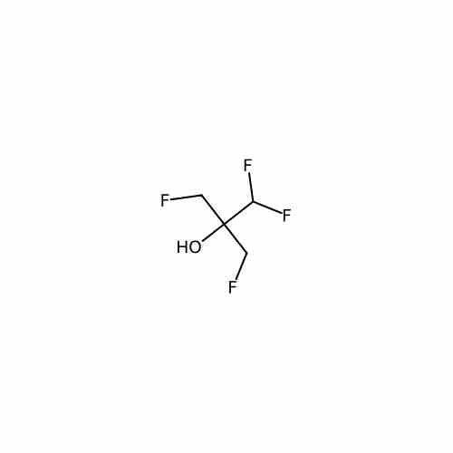 OC(CF)(CF)C(F)F